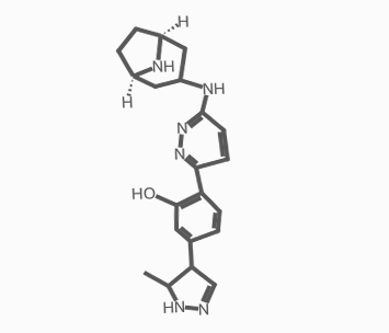 CC1NN=CC1c1ccc(-c2ccc(NC3C[C@H]4CC[C@@H](C3)N4)nn2)c(O)c1